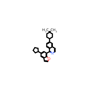 CC1(C)CCC(c2ccc3c(-c4cc(C5CCCC5)cc5ccoc45)nccc3c2)CC1